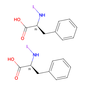 O=C(O)[C@H](Cc1ccccc1)NI.O=C(O)[C@H](Cc1ccccc1)NI